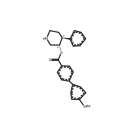 CSc1ccc(-c2ccc(C(=O)O[C@@H]3CNCC[C@H]3c3ccccc3)cc2)cc1